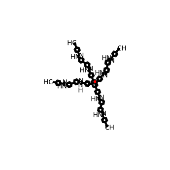 C#Cc1ccc(-c2nc3cc(-c4ccc5nc(-c6ccc(C78CC9(c%10ccc(-c%11nc%12ccc(-c%13ccc%14[nH]c(-c%15ccc(C#C)cc%15)nc%14c%13)cc%12[nH]%11)cc%10)CC(c%10ccc(-c%11nc%12ccc(-c%13ccc%14[nH]c(-c%15ccc(C#C)cc%15)nc%14c%13)cc%12[nH]%11)cc%10)(C7)CC(c7ccc(-c%10nc%11ccc(-c%12ccc%13[nH]c(-c%14ccc(C#C)cc%14)nc%13c%12)cc%11[nH]%10)cc7)(C8)C9)cc6)[nH]c5c4)ccc3[nH]2)cc1